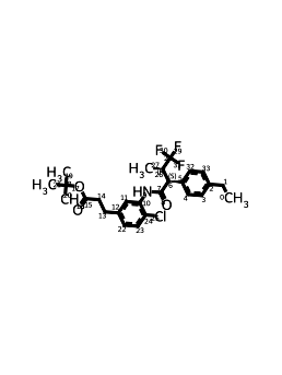 CCc1ccc([C@@H](C(=O)Nc2cc(CCC(=O)OC(C)(C)C)ccc2Cl)[C@@H](C)C(F)(F)F)cc1